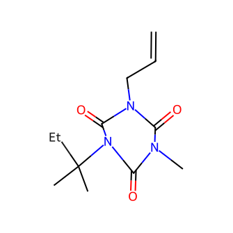 C=CCn1c(=O)n(C)c(=O)n(C(C)(C)CC)c1=O